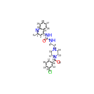 Cc1cc(NC(=O)NCCN2CCN(C(=O)c3cccc(Cl)c3)CC2)c2ccccc2n1